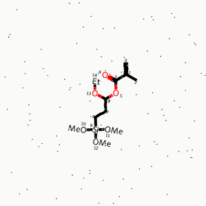 C=C(C)C(=O)OC(CC[Si](OC)(OC)OC)OCC